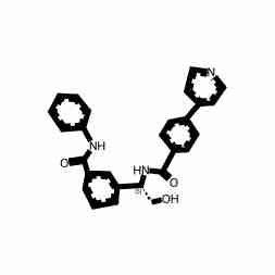 O=C(Nc1ccccc1)c1cccc([C@@H](CO)NC(=O)c2ccc(-c3ccncc3)cc2)c1